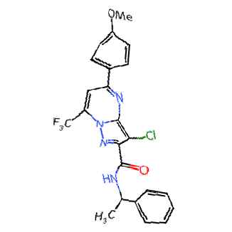 COc1ccc(-c2cc(C(F)(F)F)n3nc(C(=O)NC(C)c4ccccc4)c(Cl)c3n2)cc1